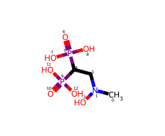 CN(O)CC(P(=O)(O)O)P(=O)(O)O